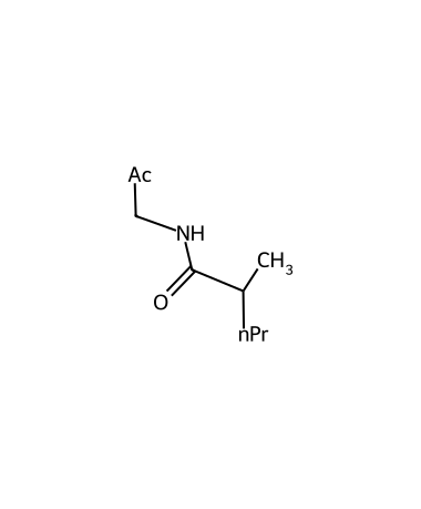 CCCC(C)C(=O)NCC(C)=O